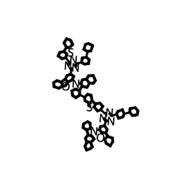 c1ccc(-c2ccc(-c3nc(-c4ccc5c(c4)sc4cc(-c6cccc7c6c6cc8ccccc8cc6n7-c6cc(-c7nc(-c8cccc(-c9ccccc9)c8)nc(-c8cccc9c8sc8ccccc89)n7)cc7c6oc6ccccc67)ccc45)nc(-c4cc(-n5c6ccccc6c6cc7ccccc7cc65)c5oc6ccccc6c5c4)n3)cc2)cc1